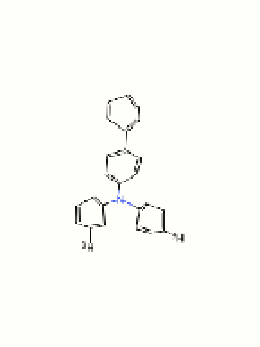 [3H]c1ccc(N(c2ccc(-c3ccccc3)cc2)c2cccc([3H])c2)cc1